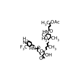 CC(=O)OC(C)C=CC(=O)N[C@@H]1C[C@H](C)[C@H](C/C=C(C)/C=C/[C@H]2O[C@H](CC(=O)NCc3ccc(N)c(C(F)(F)F)c3)C[C@@]3(CO3)[C@@H]2O)O[C@@H]1C